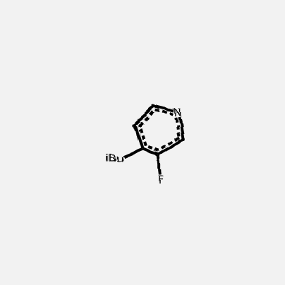 CCC(C)c1ccncc1F